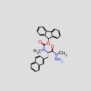 CN(N)C(=O)[C@H](Cc1ccc2ccccc2c1)N(C)C(=O)OC1c2ccccc2-c2ccccc21